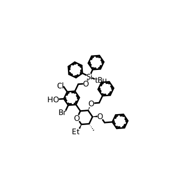 CC[C@H]1OC(c2cc(CO[Si](c3ccccc3)(c3ccccc3)C(C)(C)C)c(Cl)c(O)c2Br)[C@H](OCc2ccccc2)[C@@H](OCc2ccccc2)[C@@H]1C